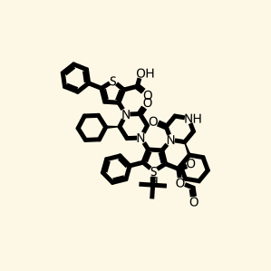 CC(C)(C)[SH]1C(C(=O)OC=O)=C(N2C(=O)CNC[C@H]2C2CCCCC2)C(N2CC(=O)N(c3cc(-c4ccccc4)sc3C(=O)O)[C@H](C3CCCCC3)C2)=C1c1ccccc1